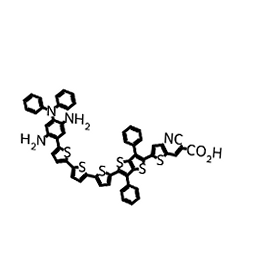 N#C/C(=C\c1ccc(-c2sc3c(-c4ccccc4)c(-c4ccc(-c5ccc(-c6ccc(-c7cc(N)c(N(c8ccccc8)c8ccccc8)cc7N)s6)s5)s4)sc3c2-c2ccccc2)s1)C(=O)O